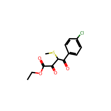 CCOC(=O)C(=O)C(SC)C(=O)c1ccc(Cl)cc1